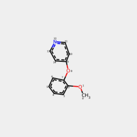 COc1ccccc1Oc1ccncc1